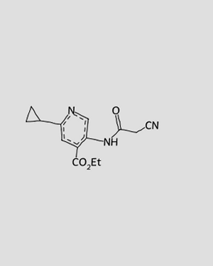 CCOC(=O)c1cc(C2CC2)ncc1NC(=O)CC#N